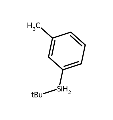 Cc1cccc([SiH2]C(C)(C)C)c1